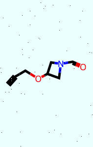 C#CCOC1CN(C=O)C1